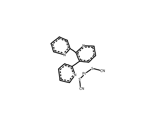 N#C[S][Pt][S]C#N.c1ccc(-c2cccnc2-c2ccccn2)nc1